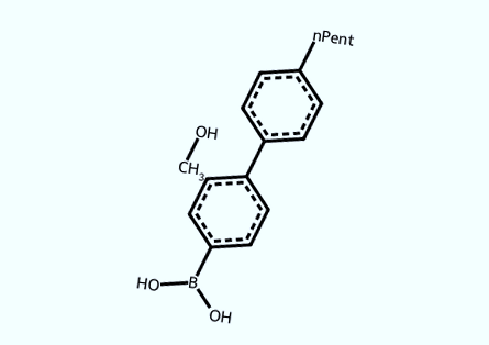 CCCCCc1ccc(-c2ccc(B(O)O)cc2)cc1.CO